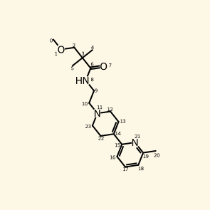 COCC(C)(C)C(=O)NCCN1CC=C(c2cccc(C)n2)CC1